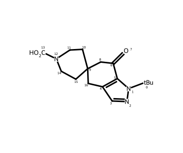 CC(C)(C)n1ncc2c1C(=O)CC1(CCN(C(=O)O)CC1)C2